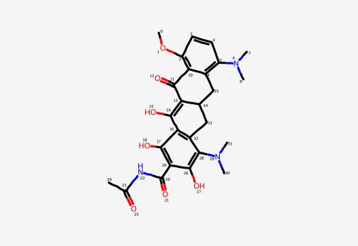 COc1ccc(N(C)C)c2c1C(=O)C1=C(O)c3c(O)c(C(=O)NC(C)=O)c(O)c(N(C)C)c3CC1C2